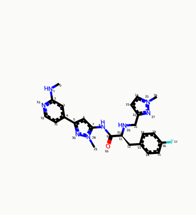 CNc1cc(-c2cc(NC(=O)[C@H](Cc3ccc(F)cc3)NCc3ccn(C)n3)n(C)n2)ccn1